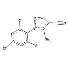 N#Cc1cnn(-c2c(Cl)cc(Cl)cc2Br)c1N